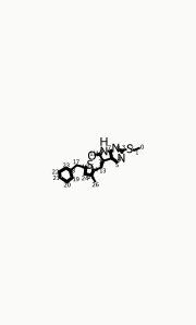 CCSc1ncc2c(n1)NC(=O)C2=Cc1sc(Cc2ccccc2)cc1C